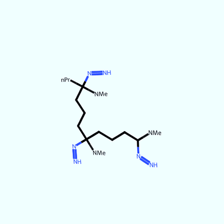 CCCC(CCCC(CCCC(N=N)NC)(N=N)NC)(N=N)NC